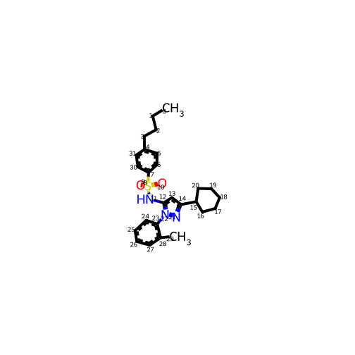 CCCCc1ccc(S(=O)(=O)Nc2cc(C3CCCCC3)nn2-c2ccccc2C)cc1